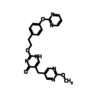 COc1ncc(Cc2c[nH]c(OCCc3ccc(Oc4ncccn4)cc3)nc2=O)cn1